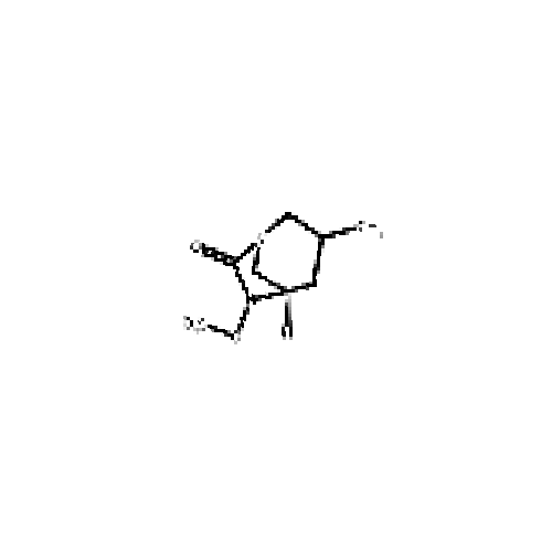 CC1C[C@H]2CN(C1)C(=O)N2OS(=O)(=O)O